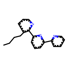 CCCCc1cccnc1-c1cccc(-c2ccccn2)n1